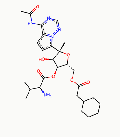 CC(=O)Nc1ncnn2c([C@]3(C)O[C@H](COC(=O)CC4CCCCC4)[C@@H](OC(=O)[C@@H](N)C(C)C)[C@H]3O)ccc12